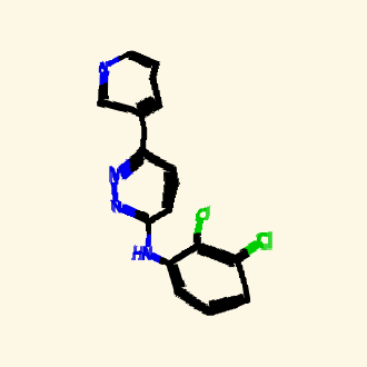 Clc1cccc(Nc2ccc(-c3cccnc3)nn2)c1Cl